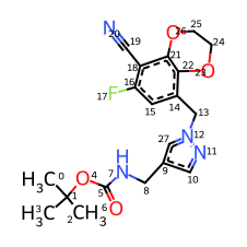 CC(C)(C)OC(=O)NCc1cnn(Cc2cc(F)c(C#N)c3c2OCCO3)c1